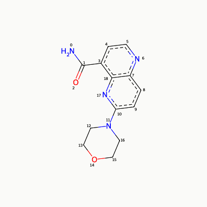 NC(=O)c1ccnc2ccc(N3CCOCC3)nc12